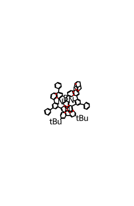 CC(C)(C)c1ccc2c(c1)c1cc(C(C)(C)C)ccc1n2-c1cc2c3c(c1)N(c1c(-c4ccccc4)cc(-c4ccccc4)cc1-c1ccccc1)c1cc(N4C5CC6CC(C5)CC4C6)ccc1B3c1cc(-c3ccccc3)ccc1N2c1c(-c2ccccc2)cc(-c2ccccc2)cc1-c1ccccc1